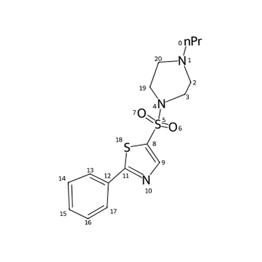 CCCN1CCN(S(=O)(=O)c2cnc(-c3ccccc3)s2)CC1